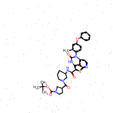 Cc1cc(Oc2ccccc2)ccc1N1C(=O)Nc2c(C(=O)NC3CCCN(C(=O)C4CCN(C(=O)OC(C)(C)C)C4)C3)sc3nccc1c23